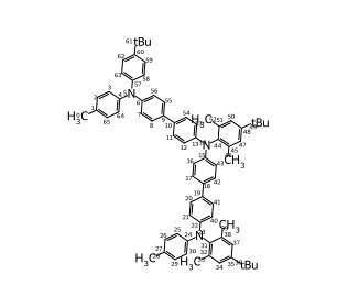 Cc1ccc(N(c2ccc(-c3ccc(N(c4ccc(-c5ccc(N(c6ccc(C)cc6)c6c(C)cc(C(C)(C)C)cc6C)cc5)cc4)c4c(C)cc(C(C)(C)C)cc4C)cc3)cc2)c2ccc(C(C)(C)C)cc2)cc1